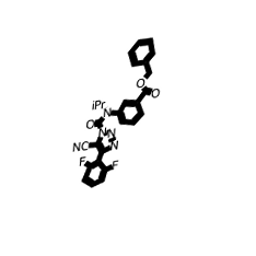 CC(C)N(C(=O)n1nnc(-c2c(F)cccc2F)c1C#N)c1cccc(C(=O)OCc2ccccc2)c1